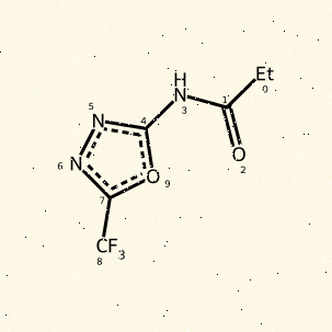 CCC(=O)Nc1nnc(C(F)(F)F)o1